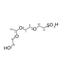 CC(OCCO)OCCOCCS(=O)(=O)O